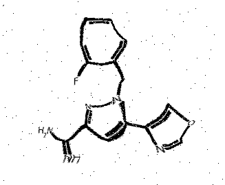 N=C(N)c1cc(-c2cocn2)n(Cc2ccccc2F)n1